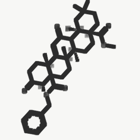 COC(=O)[C@]12CCC(C)(C)C[C@@H]1C1C(=O)C=C3[C@@]4(C)CCC(=O)[C@@H](C)C4(C(=O)OCc4ccccc4)CC[C@@]3(C)[C@]1(C)CC2